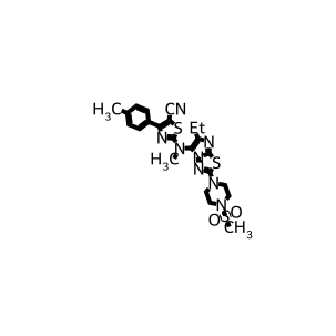 CCc1nc2sc(N3CCN(S(C)(=O)=O)CC3)nn2c1N(C)c1nc(-c2ccc(C)cc2)c(C#N)s1